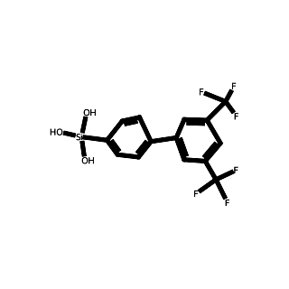 O[Si](O)(O)c1ccc(-c2cc(C(F)(F)F)cc(C(F)(F)F)c2)cc1